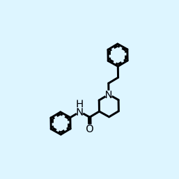 O=C(Nc1ccccc1)C1CCCN(CCc2ccccc2)C1